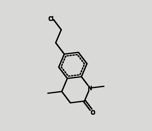 CC1CC(=O)N(C)c2ccc(CCCl)cc21